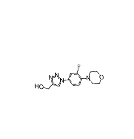 OCc1cn(-c2ccc(N3CCOCC3)c(F)c2)nn1